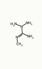 C/N=C(\N)N(N)N